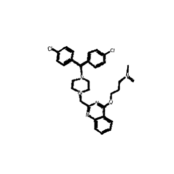 CN(C)CCCOc1nc(CN2CCN(C(c3ccc(Cl)cc3)c3ccc(Cl)cc3)CC2)nc2ccccc12